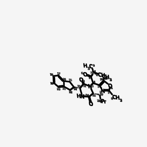 Cc1nc(C(C(=O)N(C)C)N2C(=O)[C@@H](C3Cc4ccccc4C3)NC(=O)[C@H]2CC(C)C)c(C)o1